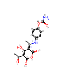 CC(=O)C1=C(O)/C(=C(\C)Nc2ccc(OC(N)=O)cc2)C(=O)OC1=O